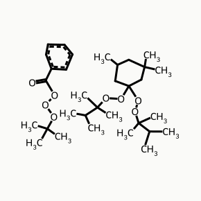 CC(C)(C)OOOC(=O)c1ccccc1.CC1CC(C)(C)CC(OOC(C)(C)C(C)C)(OOC(C)(C)C(C)C)C1